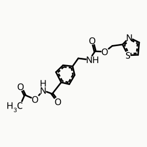 CC(=O)ONC(=O)c1ccc(CNC(=O)OCc2nccs2)cc1